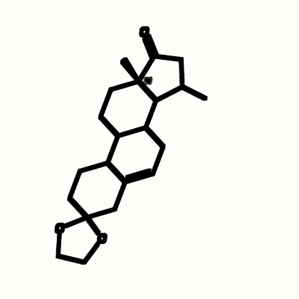 CC1CC(=O)[C@@]2(C)CCC3C4CCC5(CC4=CCC3C12)OCCO5